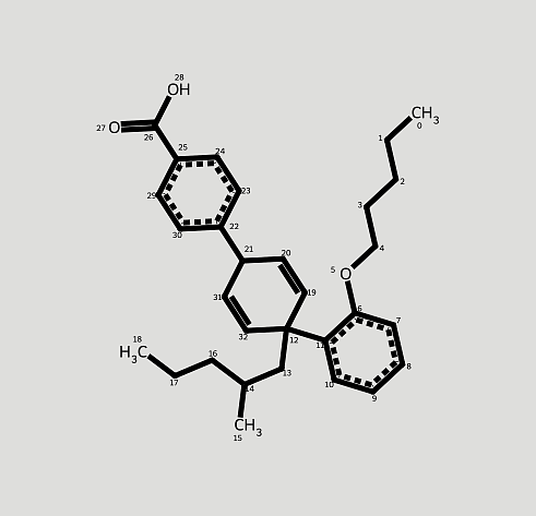 CCCCCOc1ccccc1C1(CC(C)CCC)C=CC(c2ccc(C(=O)O)cc2)C=C1